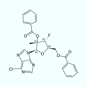 C[C@@]1(OC(=O)c2ccccc2)[C@H](F)[C@@H](COC(=O)c2ccccc2)O[C@H]1n1cnc2c(Cl)ncnc21